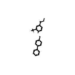 CCC(=O)c1ccc(OCc2ccc(-c3ccccc3)cc2)c(C(F)(F)F)c1